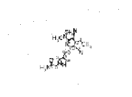 CCc1c(C#N)c(SCc2cnn(CC(N)=O)c2)nc(N(C)C)c1C#N